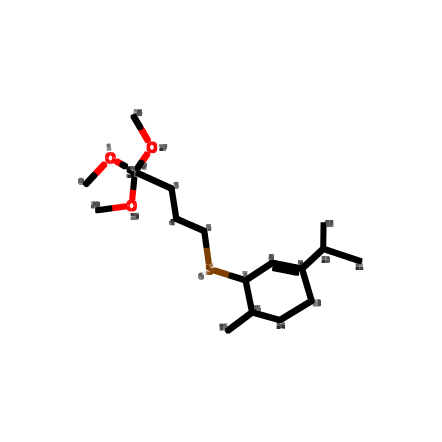 CO[Si](CCCSC1C=C(C(C)C)CCC1C)(OC)OC